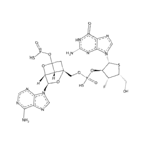 Nc1nc2c(ncn2[C@@H]2S[C@H](CO)[C@H](F)[C@H]2OP(=O)(S)OC[C@@]23CC4(O[PH](=O)S)O[C@@H]([C@H](n5cnc6c(N)ncnc65)O2)[C@H]43)c(=O)[nH]1